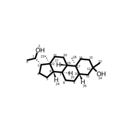 CC(O)[C@H]1CC[C@H]2[C@@H]3CC[C@H]4CC(C)(O)CC[C@]4(C)[C@H]3CC[C@]12C